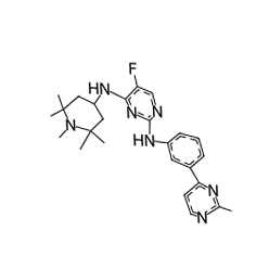 Cc1nccc(-c2cccc(Nc3ncc(F)c(NC4CC(C)(C)N(C)C(C)(C)C4)n3)c2)n1